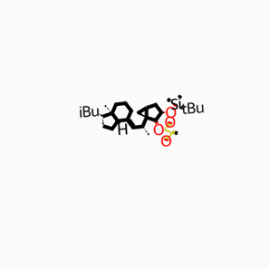 CC[C@@H](C)[C@H]1CC[C@H]2/C(=C/[C@@H](C)[C@]34CC3C[C@H](O[Si](C)(C)C(C)(C)C)C4OS(C)(=O)=O)CCC[C@]12C